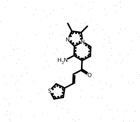 Cc1nc2c(N)c(C(=O)C=Cc3ccsc3)ccn2c1C